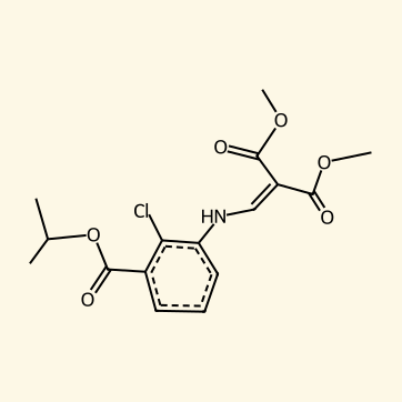 COC(=O)C(=CNc1cccc(C(=O)OC(C)C)c1Cl)C(=O)OC